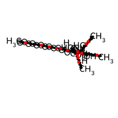 CCCCCCCCCCC(O)CNCCN(CCNCC(O)CCCCCCCCCC)CCN(CC(O)CCCCCCCCCC)C(=O)/C(C)=C(/CCC(=O)NCCOCCOCCOCCOCCOCCOCCOCCOCCOCCOCCOC)C(=O)O